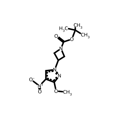 COc1nn(C2CN(C(=O)OC(C)(C)C)C2)cc1[N+](=O)[O-]